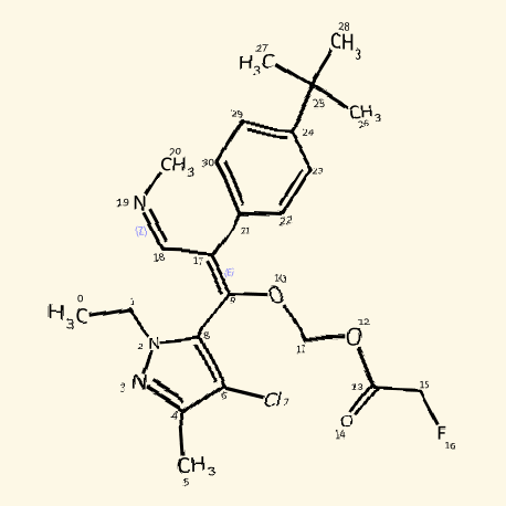 CCn1nc(C)c(Cl)c1/C(OCOC(=O)CF)=C(\C=N/C)c1ccc(C(C)(C)C)cc1